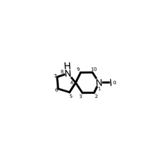 IN1CCC2(CCCN2)CC1